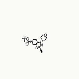 C#Cc1nc2c(c(N3CCOC[C@H]3C)n1)CCN(C(=O)OC(C)(C)C)C2